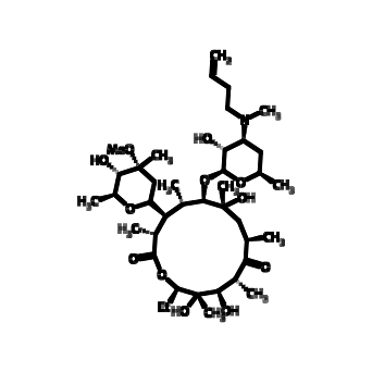 C=CCCN(C)[C@H]1C[C@@H](C)O[C@@H](O[C@@H]2[C@@H](C)[C@H](C3C[C@@](C)(OC)[C@@H](O)[C@H](C)O3)[C@@H](C)C(=O)O[C@H](CC)[C@@](C)(O)[C@H](O)[C@@H](C)C(=O)[C@H](C)C[C@@]2(C)O)[C@@H]1O